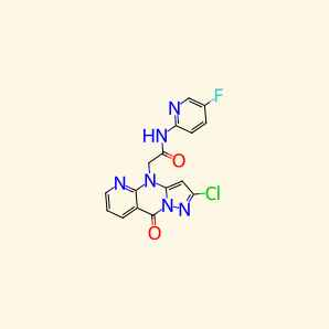 O=C(Cn1c2ncccc2c(=O)n2nc(Cl)cc12)Nc1ccc(F)cn1